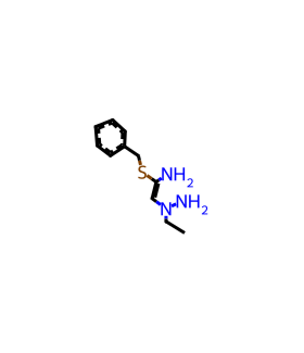 CCN(N)/C=C(\N)SCc1ccccc1